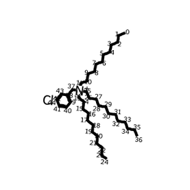 CCCCCCCCCCCC[N+](CCCCCCCCCCCC)(CCCCCCCCCCCC)Cc1ccccc1.[Cl-]